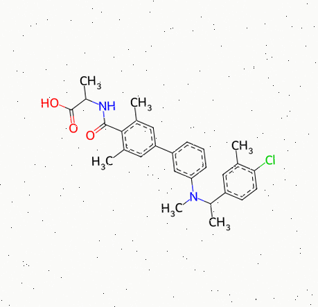 Cc1cc(C(C)N(C)c2cccc(-c3cc(C)c(C(=O)NC(C)C(=O)O)c(C)c3)c2)ccc1Cl